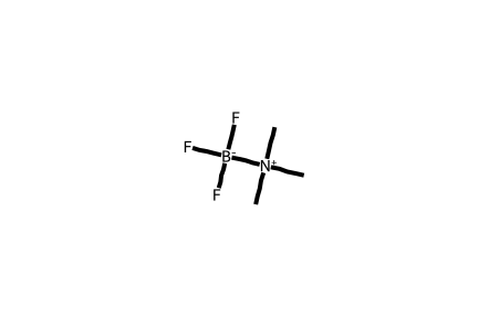 C[N+](C)(C)[B-](F)(F)F